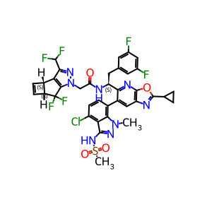 Cn1nc(NS(C)(=O)=O)c2c(Cl)ccc(-c3cc4nc(C5CC5)oc4nc3[C@H](Cc3cc(F)cc(F)c3)NC(=O)Cn3nc(C(F)F)c4c3C(F)(F)[C@@H]3C=C[C@H]43)c21